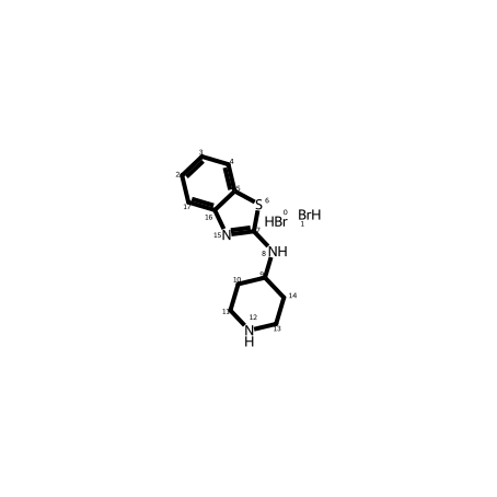 Br.Br.c1ccc2sc(NC3CCNCC3)nc2c1